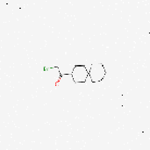 O=C(CBr)C1CCC2(CCCCC2)CC1